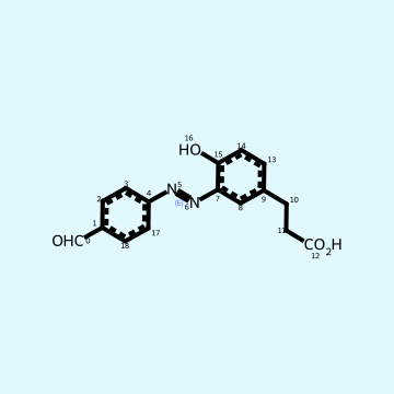 O=Cc1ccc(/N=N/c2cc(CCC(=O)O)ccc2O)cc1